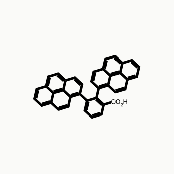 O=C(O)c1cccc(-c2ccc3ccc4cccc5ccc2c3c45)c1-c1ccc2ccc3cccc4ccc1c2c34